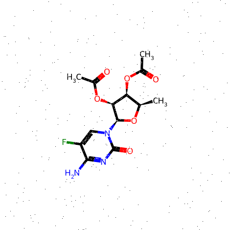 CC(=O)O[C@@H]1[C@H](OC(C)=O)[C@H](n2cc(F)c(N)nc2=O)O[C@@H]1C